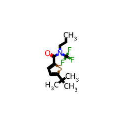 CCCN(C(=O)c1ccc(C(C)(C)C)s1)C(F)(F)F